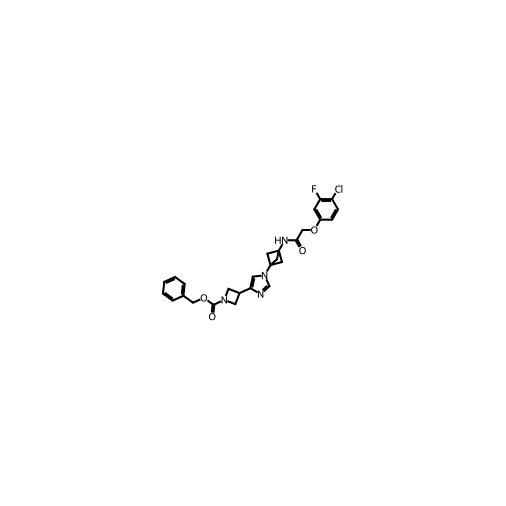 O=C(COc1ccc(Cl)c(F)c1)NC12CC(n3cnc(C4CN(C(=O)OCc5ccccc5)C4)c3)(C1)C2